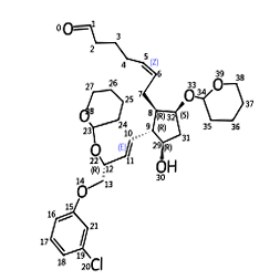 O=CCCC/C=C\C[C@@H]1[C@@H](/C=C/[C@H](COc2cccc(Cl)c2)OC2CCCCO2)[C@H](O)C[C@@H]1OC1CCCCO1